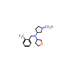 O=C(O)N1CC[C@H](N(Cc2ccccc2C(F)(F)F)C2CCOC2)C1